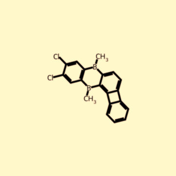 CB1c2cc(Cl)c(Cl)cc2B(C)c2c1ccc1c2-c2ccccc2-1